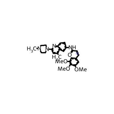 COc1cc(/C=C\C(=O)Nc2ccc3nc(N4CCN(C)CC4)cc(C)c3c2)cc(OC)c1OC